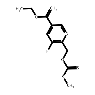 C=C(OCC)c1cnc(COC(=S)SC)c(F)c1